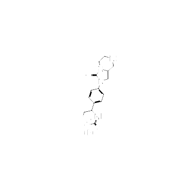 CC(C)(C)OC(=O)NC(CC(=O)O)c1ccc(N2CC3CNCCN3C2=O)cc1